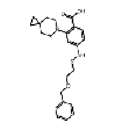 O=C(O)c1ccc(NSCCOCc2ccccc2)cc1N1CCC2(CC1)CC2